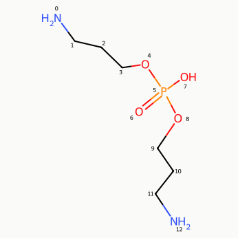 NCCCOP(=O)(O)OCCCN